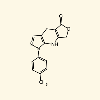 Cc1ccc(-n2ncc3c2NC2=C(C3)C(=O)OC2)cc1